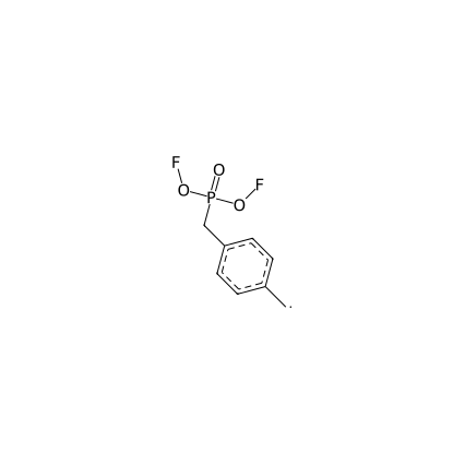 [CH2]c1ccc(CP(=O)(OF)OF)cc1